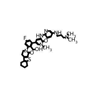 CN(C)CCCNc1ccc(Nc2cc(-c3cc(F)cc(N4CCc5c(sc6c5CCCC6)C4=O)c3CO)cn(C)c2=O)nc1